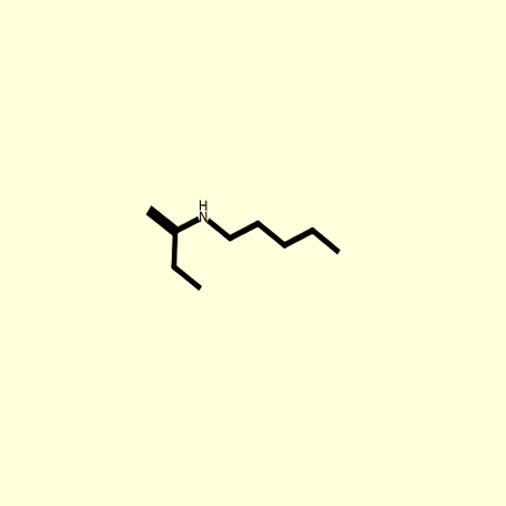 C=C(CC)NCCCCC